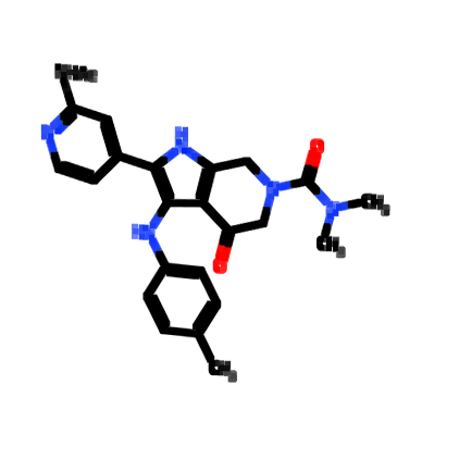 CC(=O)Nc1cc(-c2[nH]c3c(c2Nc2ccc(C)cc2)C(=O)CN(C(=O)N(C)C)C3)ccn1